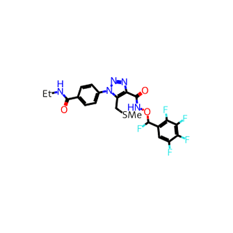 CCNC(=O)c1ccc(-n2nnc(C(=O)NOC(F)c3cc(F)c(F)c(F)c3F)c2CSC)cc1